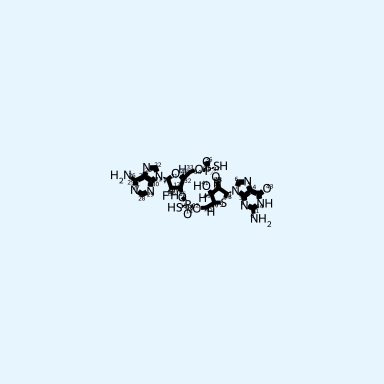 Nc1nc2c(ncn2[C@@H]2S[C@@H]3CO[P@@](=O)(S)O[C@H]4[C@H](F)[C@H](n5cnc6c(N)ncnc65)O[C@@H]4CO[P@](=O)(S)O[C@@H]2[C@@H]3O)c(=O)[nH]1